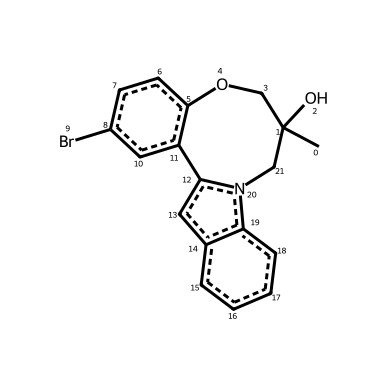 CC1(O)COc2ccc(Br)cc2-c2cc3ccccc3n2C1